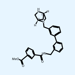 COC(=O)c1cccc(C(=O)NCc2cccc(-c3cccc(CN4C[C@@H]5C[C@H]4CN5)c3)c2)c1